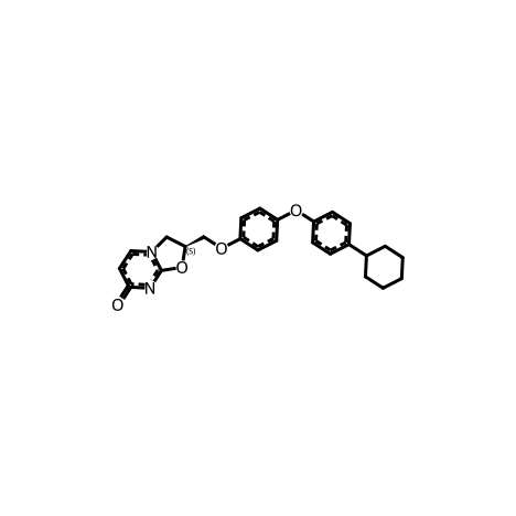 O=c1ccn2c(n1)O[C@H](COc1ccc(Oc3ccc(C4CCCCC4)cc3)cc1)C2